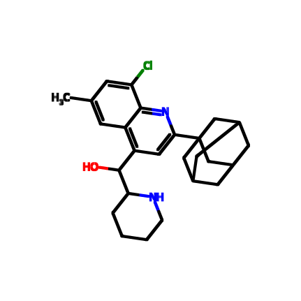 Cc1cc(Cl)c2nc(C34CC5CC(CC(C5)C3)C4)cc(C(O)C3CCCCN3)c2c1